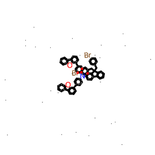 Brc1ccc(CC2(Cc3ccc(Br)cc3)c3ccccc3-c3ccc(N(c4ccc(-c5cccc6c5oc5ccccc56)cc4)c4ccc(-c5cccc6c5oc5ccccc56)cc4)cc32)cc1